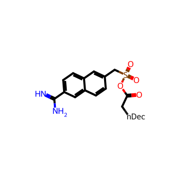 CCCCCCCCCCCC(=O)OS(=O)(=O)Cc1ccc2cc(C(=N)N)ccc2c1